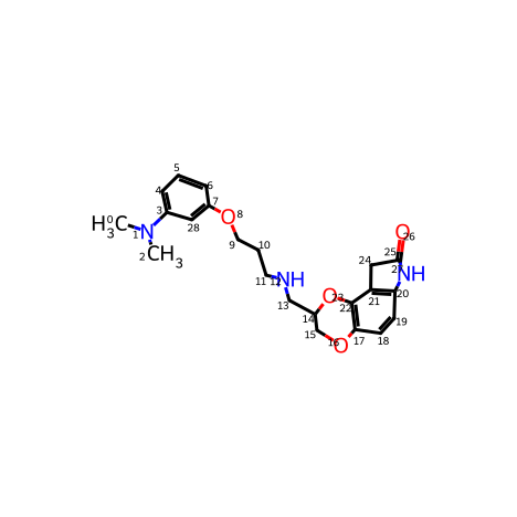 CN(C)c1cccc(OCCCNCC2COc3ccc4c(c3O2)CC(=O)N4)c1